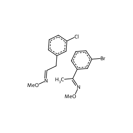 CON=C(C)c1cccc(Br)c1.CON=CCc1cccc(Cl)c1